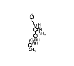 Cc1ccc(F)c(NC(=O)Nc2ccc(-c3ccc(OCCCc4ccncc4)c4[nH]nc(N)c34)cc2)c1